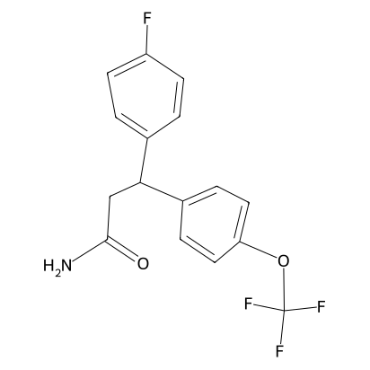 NC(=O)CC(c1ccc(F)cc1)c1ccc(OC(F)(F)F)cc1